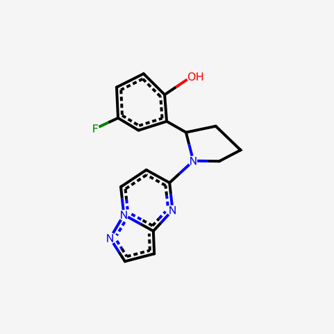 Oc1ccc(F)cc1C1CCCN1c1ccn2nccc2n1